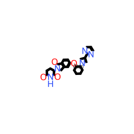 O=C1CCC(N2Cc3cc(O[C@H]4CCCC[C@H]4N4CC(c5ncccn5)C4)ccc3C2=O)C(=O)N1